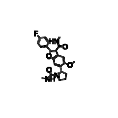 CNC(=O)c1c(-c2ccc(F)cc2)oc2cc(C3CCCN3C(=O)NC)c(OC)cc12